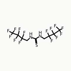 FC(F)(F)C(F)(F)C(F)(F)CNC(=S)NCC(F)(F)C(F)(F)C(F)(F)F